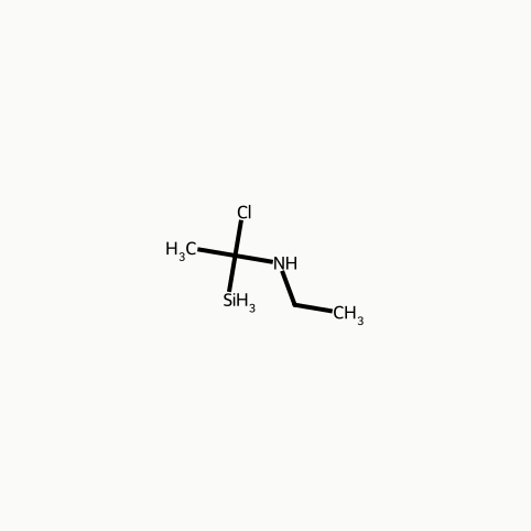 CCNC(C)([SiH3])Cl